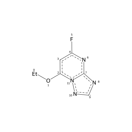 CCOc1cc(F)nc2n[c]nn12